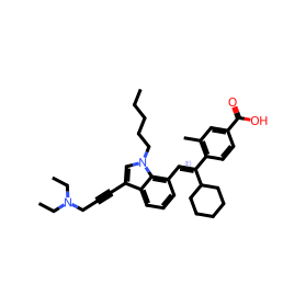 CCCCCn1cc(C#CCN(CC)CC)c2cccc(/C=C(/c3ccc(C(=O)O)cc3C)C3CCCCC3)c21